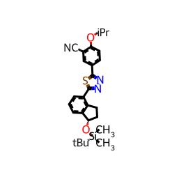 CC(C)Oc1ccc(-c2nnc(-c3cccc4c3CC[C@H]4O[Si](C)(C)C(C)(C)C)s2)cc1C#N